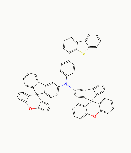 c1ccc2c(c1)Oc1ccccc1C21c2ccccc2-c2cc(N(c3ccc(-c4cccc5c4sc4ccccc45)cc3)c3ccc4c(c3)-c3ccccc3C43c4ccccc4Oc4ccccc43)ccc21